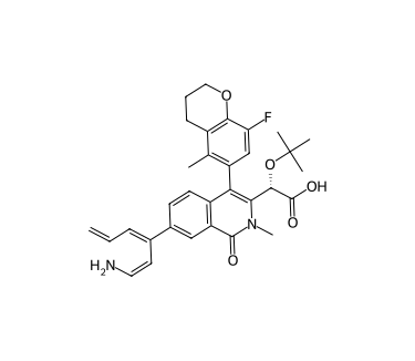 C=C/C=C(\C=C/N)c1ccc2c(-c3cc(F)c4c(c3C)CCCO4)c([C@H](OC(C)(C)C)C(=O)O)n(C)c(=O)c2c1